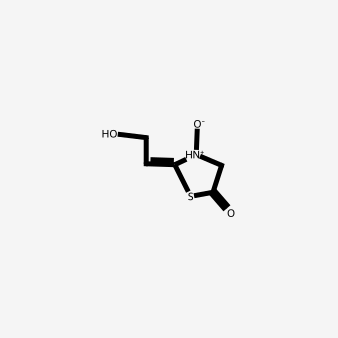 O=C1C[NH+]([O-])C(=CCO)S1